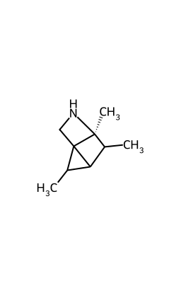 CC1C2C(C)[C@]3(C)NCC123